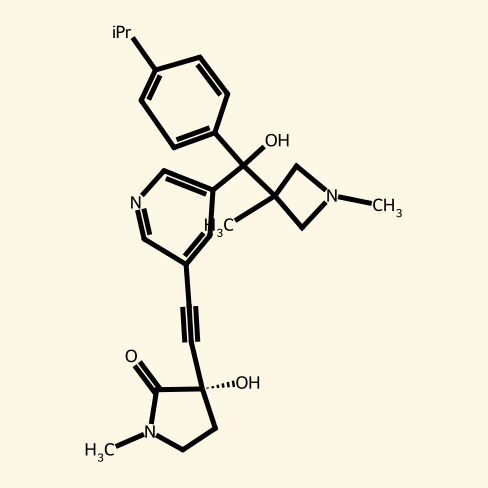 CC(C)c1ccc(C(O)(c2cncc(C#C[C@@]3(O)CCN(C)C3=O)c2)C2(C)CN(C)C2)cc1